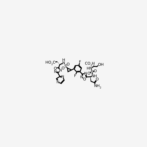 NC(=O)C[C@H](NS(=O)(=O)N[C@@H](CO)C(=O)O)c1nc(-c2cc(F)cc(C3CC3S(=O)(=O)N[C@@H](CC(=O)O)c3nc(-c4cnccn4)no3)c2F)no1